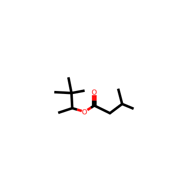 CC(C)CC(=O)OC(C)C(C)(C)C